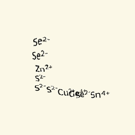 [Cu+2].[Ge+4].[S-2].[S-2].[S-2].[Se-2].[Se-2].[Se-2].[Sn+4].[Zn+2]